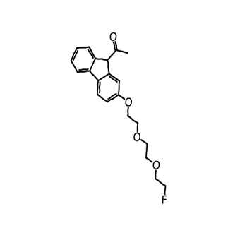 CC(=O)C1c2ccccc2-c2ccc(OCCOCCOCCF)cc21